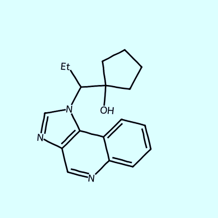 CCC(n1cnc2cnc3ccccc3c21)C1(O)CCCC1